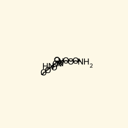 CCOCCOCCNC(=O)COC1CCCCCc2c1nnn2CCOCCOCCOCCN